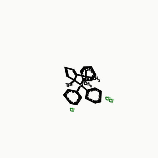 CC(C)(C)C1=CC=C[C]1([Ti+3])[Si](c1ccccc1)(c1ccccc1)c1ccccc1.[Cl-].[Cl-].[Cl-]